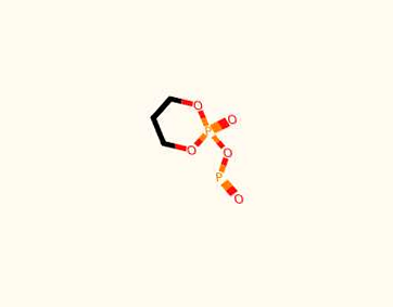 O=POP1(=O)OCCCO1